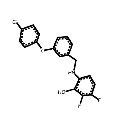 Oc1c(NCc2cccc(Oc3ccc(Cl)cc3)c2)ccc(F)c1F